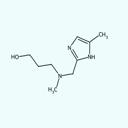 Cc1cnc(CN(C)CCCO)[nH]1